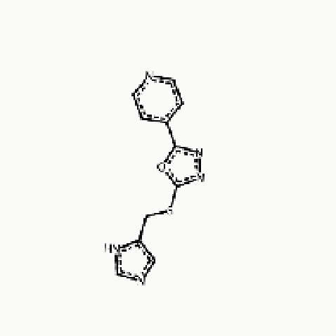 c1cc(-c2nnc(SCc3cnc[nH]3)o2)ccn1